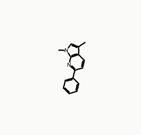 Cc1cn(C)c2nc(-c3ccccc3)ccc12